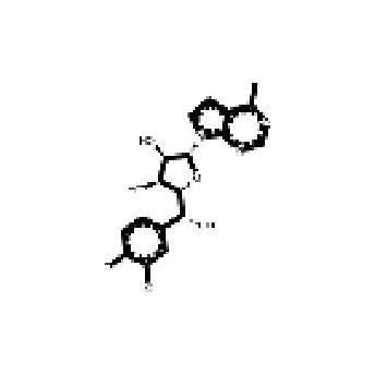 Cc1ncnc2c1ccn2[C@@H]1O[C@H]([C@H](O)c2ccc(F)c(Cl)c2)[C@@H](O)[C@H]1O